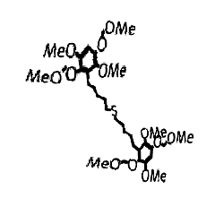 COCOc1cc(OC)c(OCOC)c(CCCCCSCCCCCc2c(OC)c(OCOC)cc(OC)c2OCOC)c1OC